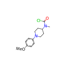 COc1ccc(N2CCC(N(C)C(=O)Cl)CC2)cc1